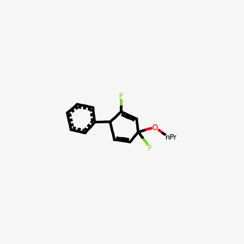 CCCOC1(F)C=CC(c2ccccc2)C(F)=C1